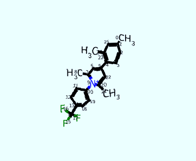 Cc1ccc(-c2cc(C)[n+](-c3ccc(C(F)(F)F)cc3)c(C)c2)c(C)c1